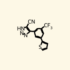 N#Cc1[nH]nnc1-c1cc(-c2cccs2)cc(C(F)(F)F)c1